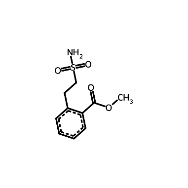 COC(=O)c1ccccc1CCS(N)(=O)=O